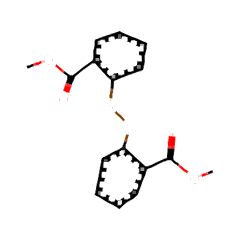 COC(=O)c1ccccc1SSc1ccccc1C(=O)OC